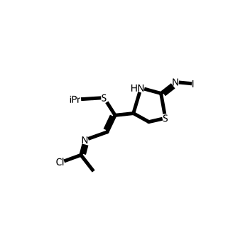 C/C(Cl)=N\C=C(/SC(C)C)C1CS/C(=N\I)N1